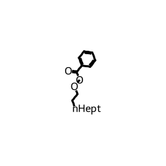 CCCCCCCCCOOC(=O)c1ccccc1